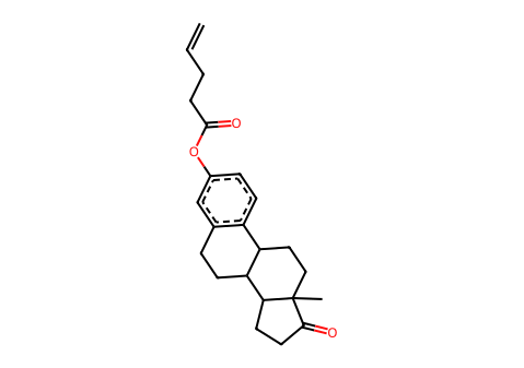 C=CCCC(=O)Oc1ccc2c(c1)CCC1C2CCC2(C)C(=O)CCC12